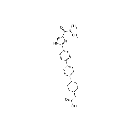 CN(C)C(=O)c1c[nH]c(-c2ccc(-c3ccc([C@H]4CC[C@H](CC(=O)O)CC4)cc3)nc2)n1